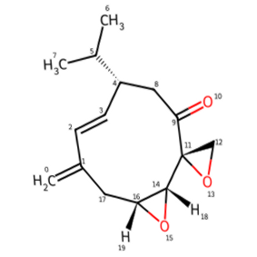 C=C1/C=C/[C@H](C(C)C)CC(=O)[C@@]2(CO2)[C@@H]2O[C@@H]2C1